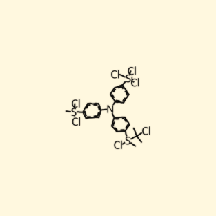 CC(C)(Cl)S(C)(Cl)c1ccc(N(c2ccc([Si](Cl)(Cl)Cl)cc2)c2ccc(S(C)(Cl)Cl)cc2)cc1